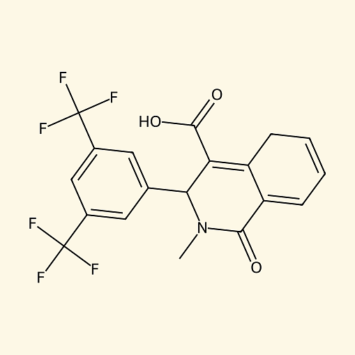 CN1C(=O)C2=CC=CCC2=C(C(=O)O)C1c1cc(C(F)(F)F)cc(C(F)(F)F)c1